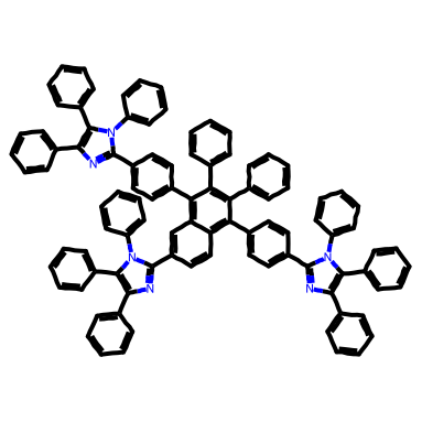 c1ccc(-c2nc(-c3ccc(-c4c(-c5ccccc5)c(-c5ccccc5)c(-c5ccc(-c6nc(-c7ccccc7)c(-c7ccccc7)n6-c6ccccc6)cc5)c5cc(-c6nc(-c7ccccc7)c(-c7ccccc7)n6-c6ccccc6)ccc45)cc3)n(-c3ccccc3)c2-c2ccccc2)cc1